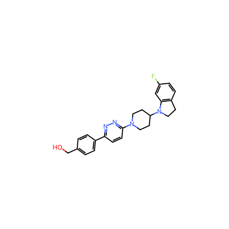 OCc1ccc(-c2ccc(N3CCC(N4CCc5ccc(F)cc54)CC3)nn2)cc1